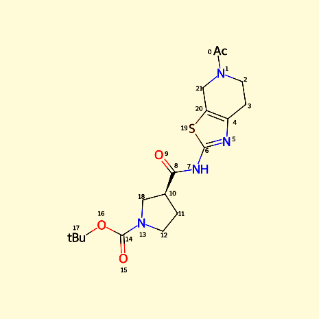 CC(=O)N1CCc2nc(NC(=O)[C@H]3CCN(C(=O)OC(C)(C)C)C3)sc2C1